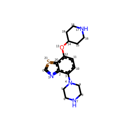 c1nc2c(N3CCNCC3)ccc(OC3CCNCC3)c2s1